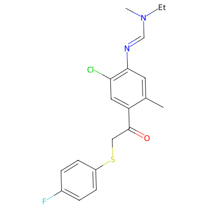 CCN(C)C=Nc1cc(C)c(C(=O)CSc2ccc(F)cc2)cc1Cl